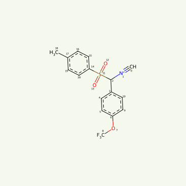 C#[N+]C(c1ccc(OC(F)(F)F)cc1)S(=O)(=O)c1ccc(C)cc1